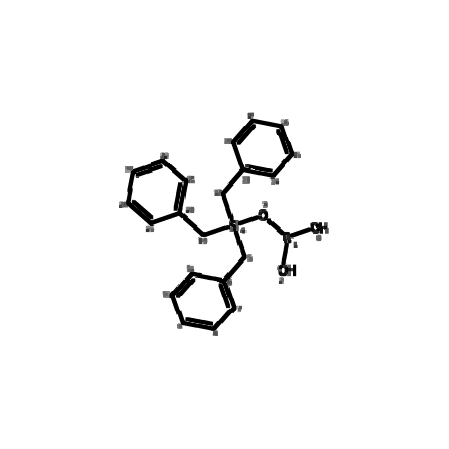 OB(O)O[Si](Cc1ccccc1)(Cc1ccccc1)Cc1ccccc1